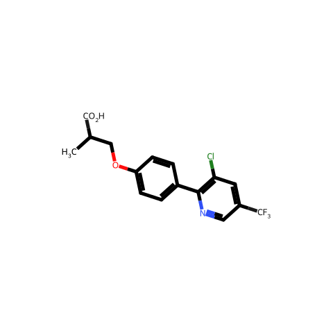 CC(COc1ccc(-c2ncc(C(F)(F)F)cc2Cl)cc1)C(=O)O